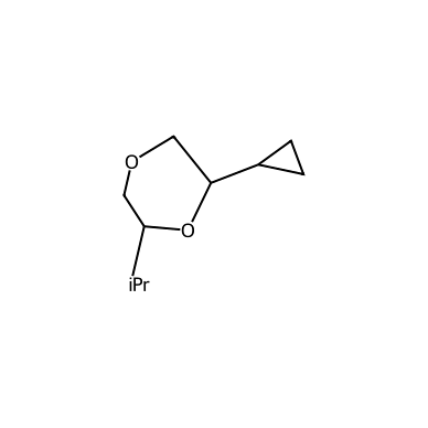 CC(C)C1COCC(C2CC2)O1